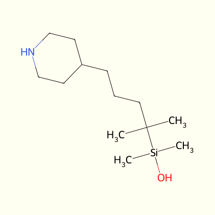 CC(C)(CCCC1CCNCC1)[Si](C)(C)O